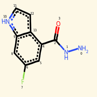 NNC(=O)c1cc(F)cc2[nH]ccc12